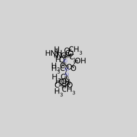 CC[C@H](O)[C@@H](C)[C@H]1O[C@@H]1C[C@@](C)(O)/C=C/C=C(\C)[C@H]1OC(=O)C[C@H](O)CC[C@@](C)(OC(C)=O)[C@@H](OC(=O)N2C[C@@H]3C[C@H]2CN3)/C=C/[C@@H]1C